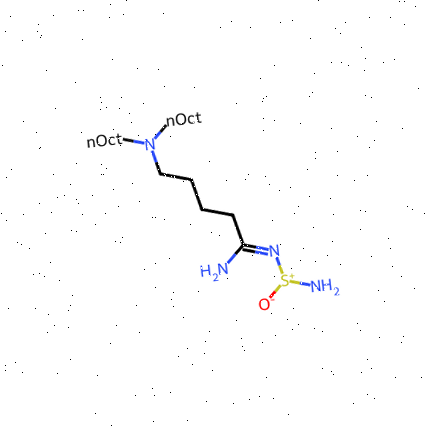 CCCCCCCCN(CCCCCCCC)CCCC/C(N)=N/[S+](N)[O-]